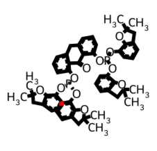 CC1(C)Cc2cccc(OP(Oc3cccc4c3OC(C)(C)C4)Oc3cccc4c3C(=O)c3c(cccc3OP(Oc3cccc5c3OC(C)(C)C5)Oc3cccc5c3OC(C)(C)C5)C4)c2O1